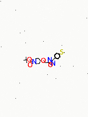 CSc1ccc(-c2noc(COC3CCN(C(=O)OC(C)(C)C)CC3)n2)cc1